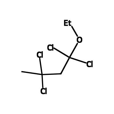 CCOC(Cl)(Cl)CC(C)(Cl)Cl